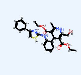 CCOC(=O)C1=C(C)NC(CBr)=C(C(=O)OCC)C1c1ccccc1Nc1nc(-c2ccccc2)cs1